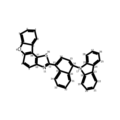 c1ccc2c(c1)oc1ccc3nc(-c4ccc(-n5c6ccccc6c6ccccc65)c5ccccc45)sc3c12